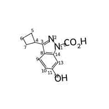 O=C(O)n1nc(C2CCC2)c2ccc(O)cc21